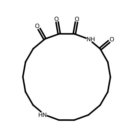 O=C1CCCCCCCNCCCCCC(=O)C(=O)C(=O)N1